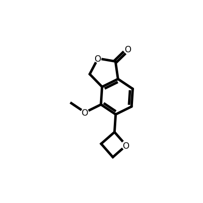 COc1c(C2CCO2)ccc2c1COC2=O